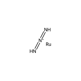 N=[N+]=N.[Ru]